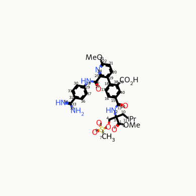 COC(=O)C(COS(C)(=O)=O)(CC(C)C)NC(=O)c1ccc(-c2ccc(OC)nc2C(=O)Nc2ccc(C(=N)N)cc2)c(C(=O)O)c1